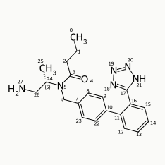 CCCC(=O)N(Cc1ccc(-c2ccccc2-c2nnn[nH]2)cc1)[C@@H](C)CN